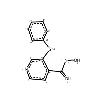 N=C(NO)c1ccncc1Sc1ccccc1